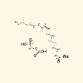 CCCCCCCC/C=C\CCCCCCC[C](=O)[Na].O=C(O)CCC(=O)O